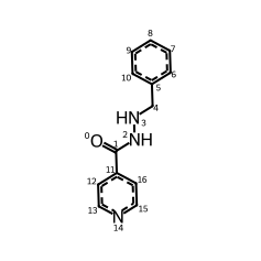 O=C(NNCc1ccccc1)c1ccncc1